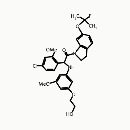 COc1cc(NC(C(=O)N2CCc3ccc(OC(C)(C)F)cc32)c2ccc(Cl)cc2OC)cc(OCCO)c1